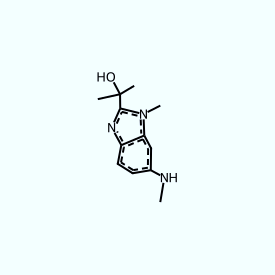 CNc1ccc2nc(C(C)(C)O)n(C)c2c1